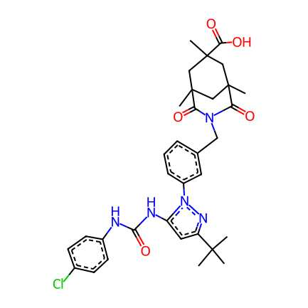 CC1(C(=O)O)CC2(C)CC(C)(C1)C(=O)N(Cc1cccc(-n3nc(C(C)(C)C)cc3NC(=O)Nc3ccc(Cl)cc3)c1)C2=O